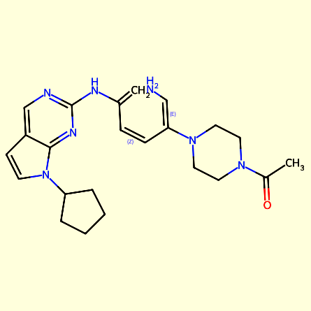 C=C(/C=C\C(=C/N)N1CCN(C(C)=O)CC1)Nc1ncc2ccn(C3CCCC3)c2n1